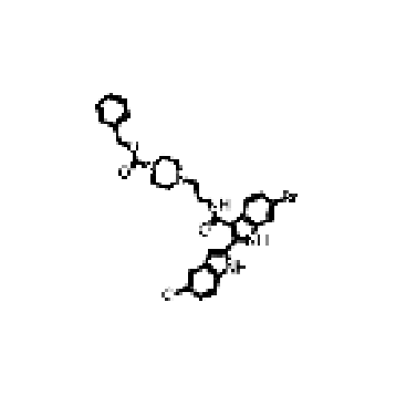 O=C(NCCN1CCN(C(=O)OCc2ccccc2)CC1)c1c(-c2cc3cc(Cl)ccc3[nH]2)[nH]c2cc(Br)ccc12